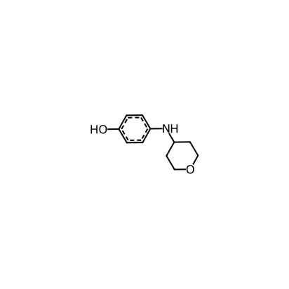 Oc1ccc(NC2CCOCC2)cc1